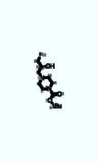 CC(C)(C)OC(=O)N1CCN(C[C@H](O)CF)CC1